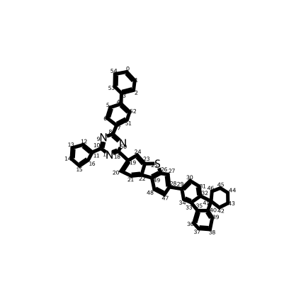 c1ccc(-c2ccc(-c3nc(-c4ccccc4)nc(-c4ccc5c(c4)sc4cc(-c6ccc7c(c6)-c6ccccc6C76CCCCC6)ccc45)n3)cc2)cc1